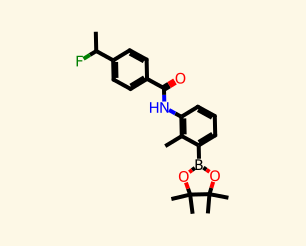 Cc1c(NC(=O)c2ccc(C(C)F)cc2)cccc1B1OC(C)(C)C(C)(C)O1